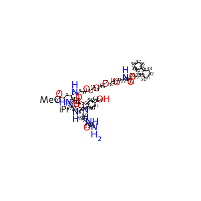 COC(=O)CC[C@@H](NC(=O)CCOCCOCCOCCOCCNC(=O)OCC1c2ccccc2-c2ccccc21)C(=O)N[C@H](C(=O)N[C@@H](CCCNC(N)=O)C(=O)Nc1ccc(CO)cc1)C(C)C